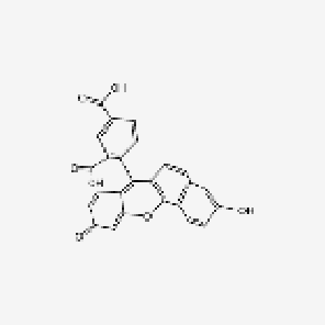 O=C(O)c1ccc(-c2c3ccc(=O)cc-3oc3c2ccc2cc(O)ccc23)c(C(=O)O)c1